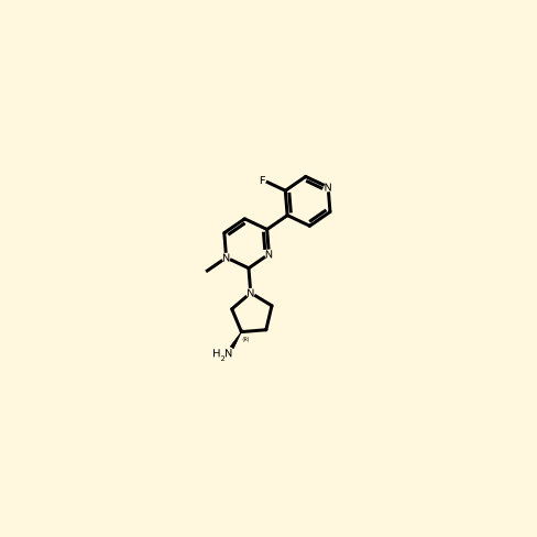 CN1C=CC(c2ccncc2F)=NC1N1CC[C@@H](N)C1